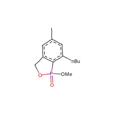 CCCCc1cc(C)cc2c1P(=O)(OC)OC2